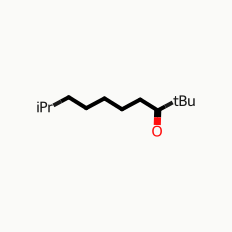 CC(C)CCCCCC(=O)C(C)(C)C